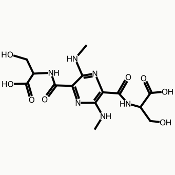 CNc1nc(C(=O)NC(CO)C(=O)O)c(NC)nc1C(=O)NC(CO)C(=O)O